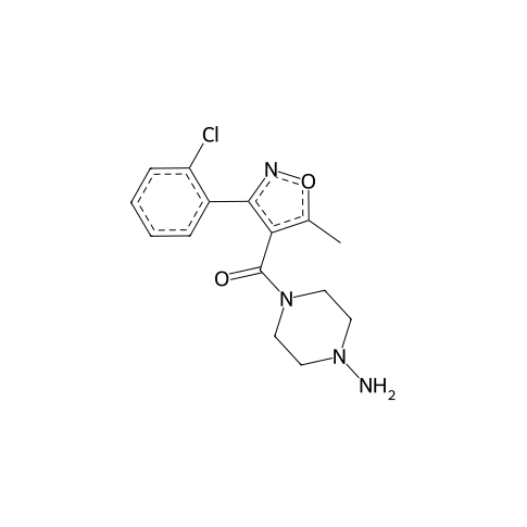 Cc1onc(-c2ccccc2Cl)c1C(=O)N1CCN(N)CC1